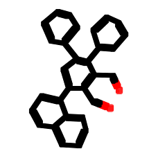 O=Cc1c(-c2cccc3ccccc23)cc(-c2ccccc2)c(-c2ccccc2)c1C=O